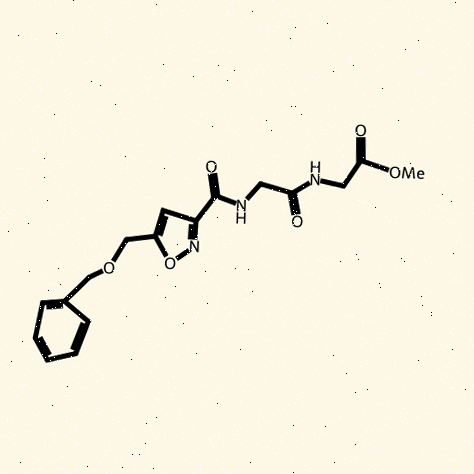 COC(=O)CNC(=O)CNC(=O)c1cc(COCc2ccccc2)on1